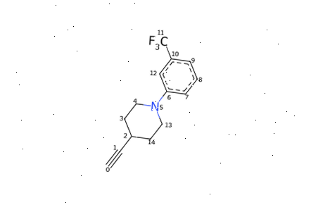 C#CC1CCN(c2cccc(C(F)(F)F)c2)CC1